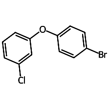 Clc1cccc(Oc2ccc(Br)cc2)c1